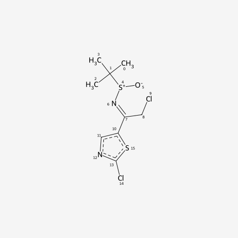 CC(C)(C)[S+]([O-])N=C(CCl)c1cnc(Cl)s1